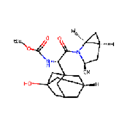 CC(C)(C)OC(=O)N[C@H](C(=O)N1[C@H](C#N)C[C@@H]2C[C@@H]21)C12CC3C[C@H](CC(O)(C3)C1)C2